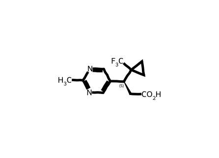 Cc1ncc([C@H](CC(=O)O)C2(C(F)(F)F)CC2)cn1